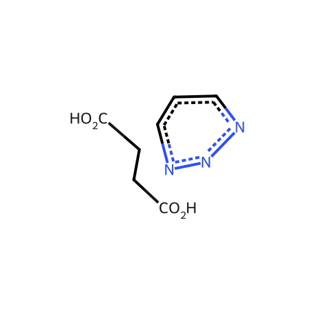 O=C(O)CCC(=O)O.c1cnnnc1